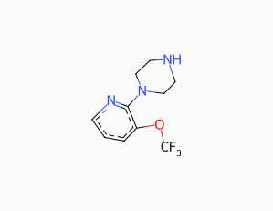 FC(F)(F)Oc1cccnc1N1CCNCC1